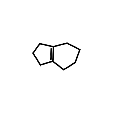 [CH]1CCC2=C1CCCC2